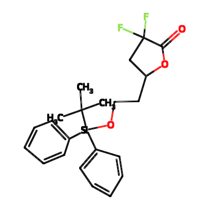 CC(C)(C)[Si](OCCC1CC(F)(F)C(=O)O1)(c1ccccc1)c1ccccc1